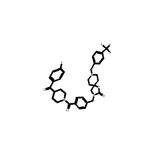 O=C(c1ccc(F)cc1)C1CCN(C(=O)c2ccc(CN3CC4(CCN(Cc5ccc(C(F)(F)F)cc5)CC4)OC3=O)cc2)CC1